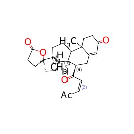 CC(=O)/C=C\C(=O)[C@@H]1CC2=CC(=O)CCC2(C)C2CC[C@@]3(C)[C@@H](CC[C@@]34CCC(=O)O4)[C@@H]21